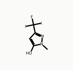 Cn1nc(C(F)(I)I)cc1O